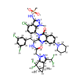 Cn1nc(NS(C)(=O)=O)c2c(Cl)ccc(-n3c([C@H](Cc4cc(F)cc(F)c4)NC(=O)Cn4nc(C(F)F)c5c4C(F)(F)[C@@H]4C[C@H]54)nc4cc(N5CCCCC5)ccc4c3=O)c21